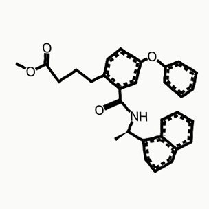 COC(=O)CCCc1ccc(Oc2ccccc2)cc1C(=O)N[C@H](C)c1cccc2ccccc12